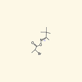 C/C(=N\OC(=O)C(C)Br)C(C)(C)C